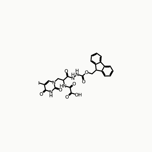 O=C(NNC(=O)C(Cn1cc(I)c(=O)[nH]c1=O)NC(=O)C(=O)O)OCC1c2ccccc2-c2ccccc21